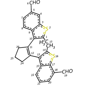 Cc1sc2cc(C=O)ccc2c1C1=C(c2c(C)sc3c(C=O)cccc23)CCC1